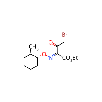 CCOC(=O)C(=NO[C@@H]1CCCC[C@H]1C)C(=O)CBr